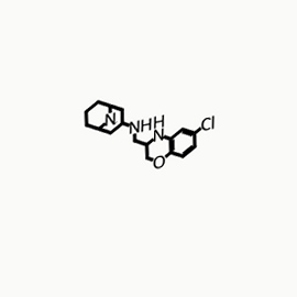 CN1C2CCCC1CC(NCC1COc3ccc(Cl)cc3N1)C2